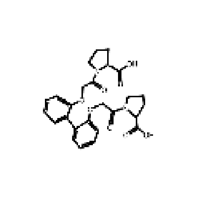 O=C(O)C1CCCN1C(=O)COc1ccccc1-c1ccccc1OCC(=O)N1CCCC1C(=O)O